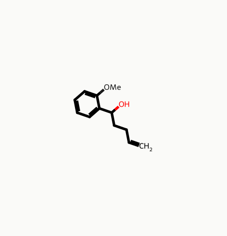 C=CCCC(O)c1ccccc1OC